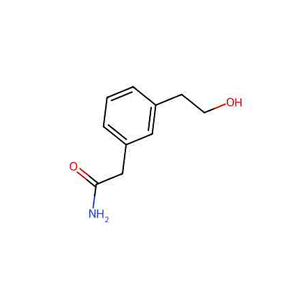 NC(=O)Cc1cccc(CCO)c1